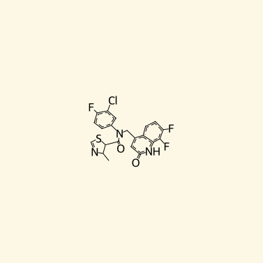 CC1N=CSC1C(=O)N(Cc1cc(=O)[nH]c2c(F)c(F)ccc12)c1ccc(F)c(Cl)c1